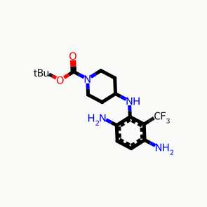 CC(C)(C)OC(=O)N1CCC(Nc2c(N)ccc(N)c2C(F)(F)F)CC1